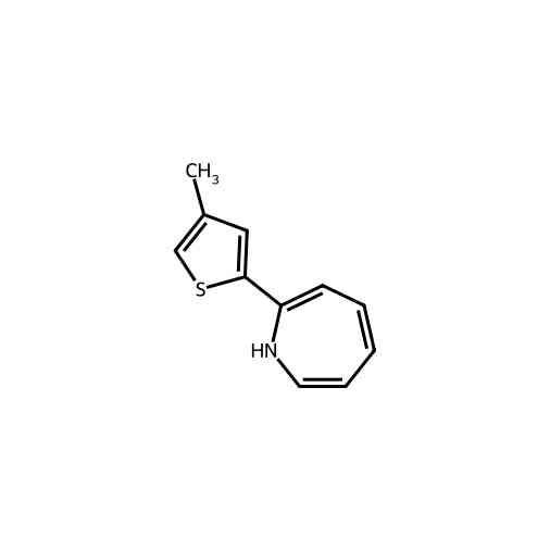 Cc1csc(C2=CC=CC=CN2)c1